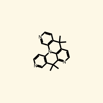 CC1(C)c2ccncc2N2c3ccncc3C(C)(C)c3nccc1c32